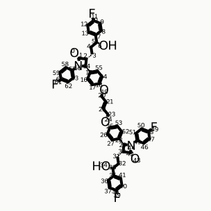 O=C1[C@H](CC[C@H](O)c2ccc(F)cc2)[C@@H](c2ccc(OCC=CCOc3ccc([C@@H]4[C@@H](CC[C@H](O)c5ccc(F)cc5)C(=O)N4c4ccc(F)cc4)cc3)cc2)N1c1ccc(F)cc1